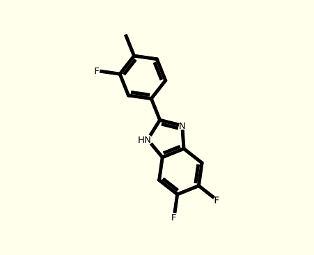 Cc1ccc(-c2nc3cc(F)c(F)cc3[nH]2)cc1F